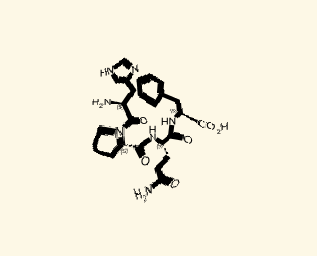 NC(=O)CC[C@H](NC(=O)[C@@H]1CCCN1C(=O)[C@@H](N)Cc1c[nH]cn1)C(=O)N[C@@H](Cc1ccccc1)C(=O)O